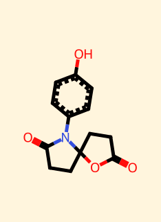 O=C1CCC2(CCC(=O)N2c2ccc(O)cc2)O1